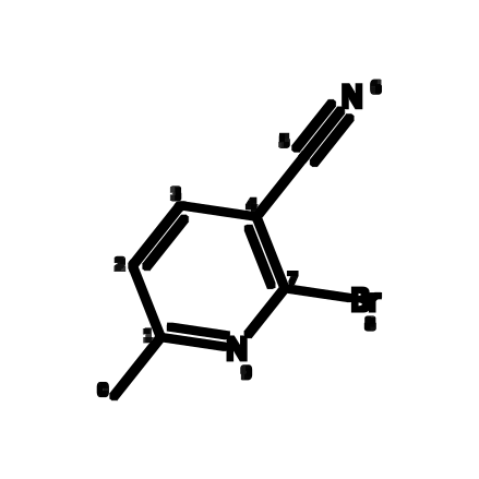 Cc1ccc(C#N)c(Br)n1